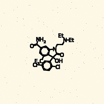 CCN(CC)CCN1C(=O)C(O)(c2cc(Cl)ccc2Cl)c2c1cc(C(N)=O)cc2C(F)(F)F